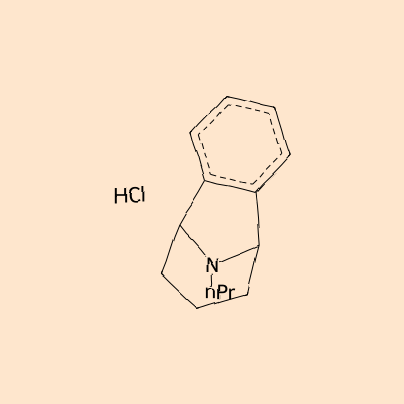 CCCN1C2CCCC1c1ccccc12.Cl